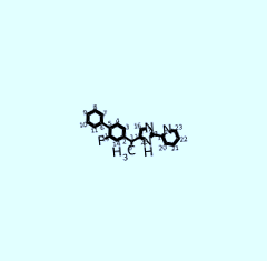 CC(c1ccc(-c2ccccc2)c(F)c1)c1cnc(-c2ccccn2)[nH]1